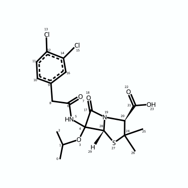 CC(C)OC1(NC(=O)Cc2ccc(Cl)c(Cl)c2)C(=O)N2[C@@H](C(=O)O)C(C)(C)S[C@@H]21